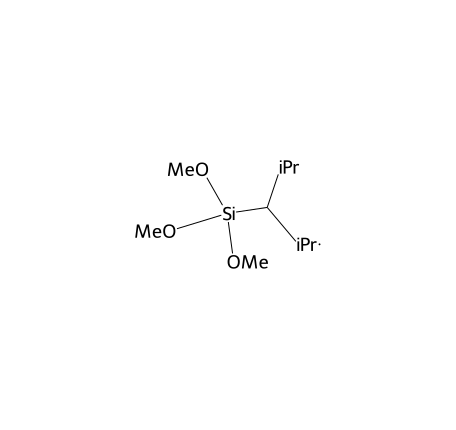 CO[Si](OC)(OC)C([C](C)C)C(C)C